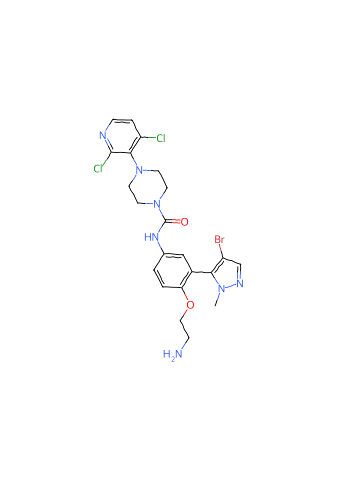 Cn1ncc(Br)c1-c1cc(NC(=O)N2CCN(c3c(Cl)ccnc3Cl)CC2)ccc1OCCN